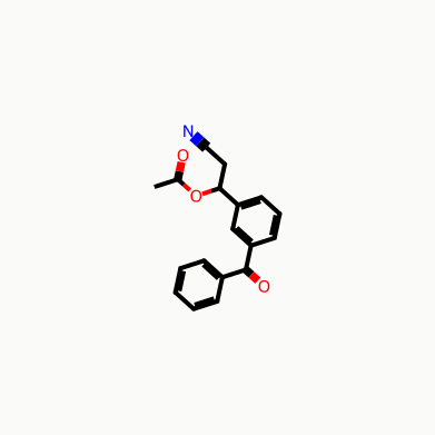 CC(=O)OC(CC#N)c1cccc(C(=O)c2ccccc2)c1